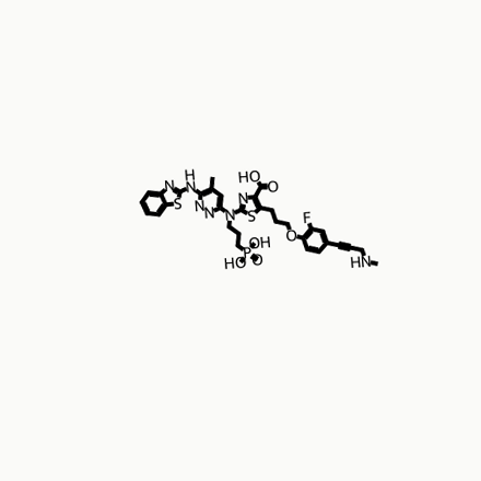 CNCC#Cc1ccc(OCCCc2sc(N(CCCP(=O)(O)O)c3cc(C)c(Nc4nc5ccccc5s4)nn3)nc2C(=O)O)c(F)c1